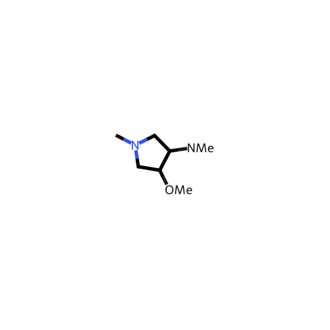 CNC1CN(C)CC1OC